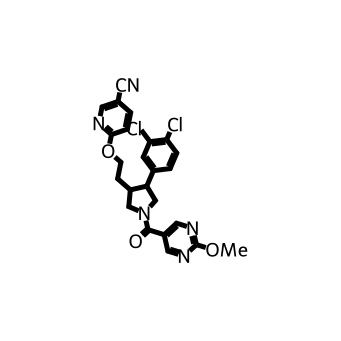 COc1ncc(C(=O)N2CC(CCOc3ccc(C#N)cn3)C(c3ccc(Cl)c(Cl)c3)C2)cn1